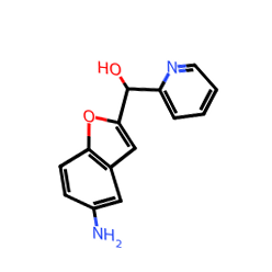 Nc1ccc2oc(C(O)c3ccccn3)cc2c1